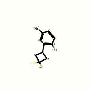 CC(C)(C)c1ccc(Cl)c(C2CC(F)(F)C2)c1